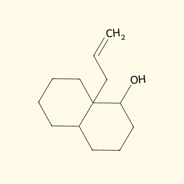 C=CCC12CCCCC1CCCC2O